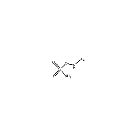 CC(=O)NOS(N)(=O)=S